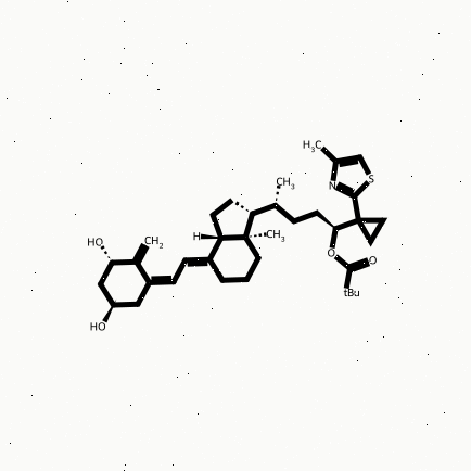 C=C1/C(=C\C=C2/CCC[C@]3(C)[C@@H]([C@H](C)CC[C@H](OC(=O)C(C)(C)C)C4(c5nc(C)cs5)CC4)CC[C@@H]23)C[C@@H](O)C[C@@H]1O